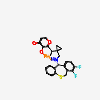 CC(c1occc(=O)c1OP)C1(CN[C@H]2c3ccccc3SCc3c2ccc(F)c3F)CC1